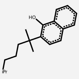 CC(C)CCCC(C)(C)c1ccc2ccccc2c1O